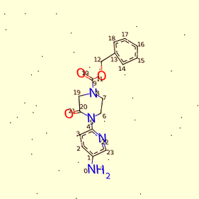 Nc1ccc(N2CCN(C(=O)OCc3ccccc3)CC2=O)nc1